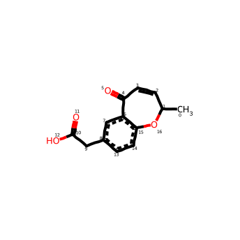 CC1C=CC(=O)c2cc(CC(=O)O)ccc2O1